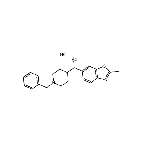 CC(=O)C(c1ccc2nc(C)sc2c1)C1CCN(Cc2ccccc2)CC1.Cl